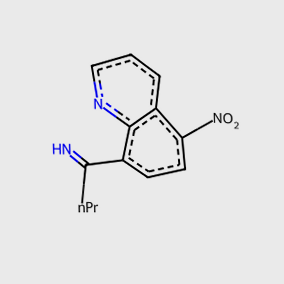 CCCC(=N)c1ccc([N+](=O)[O-])c2cccnc12